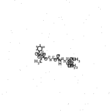 C=C(OS(=O)(=O)c1ccccc1)C(=O)OCCCOC(=O)NCCC[Si](OC)(OC)OC